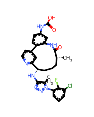 Cc1c(N[C@H]2CCC[C@@H](C)C(=O)Nc3cc(NC(=O)O)ccc3-c3ccnc2c3)nnn1-c1cccc(Cl)c1F